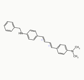 CN(C)c1ccc(/C=C/C=C/c2ccc(NCc3ccccc3)cc2)cc1